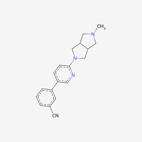 CN1CC2CN(c3ccc(-c4cccc(C#N)c4)cn3)CC2C1